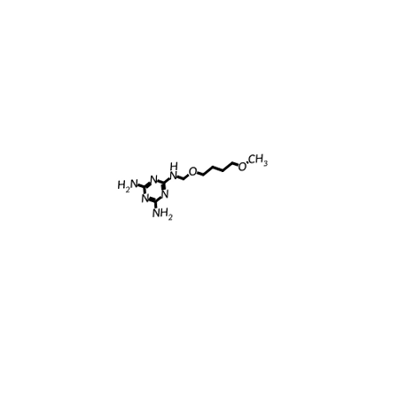 COCCCCOCNc1nc(N)nc(N)n1